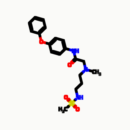 CN(CCCNS(C)(=O)=O)CC(=O)Nc1ccc(Oc2ccccc2)cc1